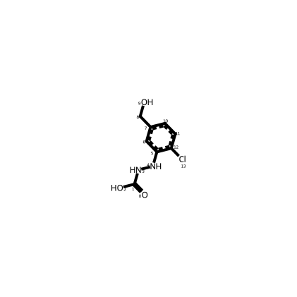 O=C(O)NNc1cc(CO)ccc1Cl